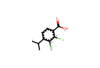 CC(C)c1ccc(C(=O)O)c(F)c1Cl